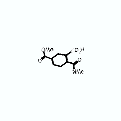 CNC(=O)C1CCC(C(=O)OC)CC1C(=O)O